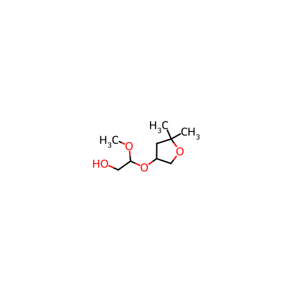 COC(CO)OC1COC(C)(C)C1